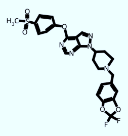 CS(=O)(=O)c1ccc(Oc2ncnc3c2cnn3C2CCN(Cc3ccc4c(c3)OC(F)(F)O4)CC2)cc1